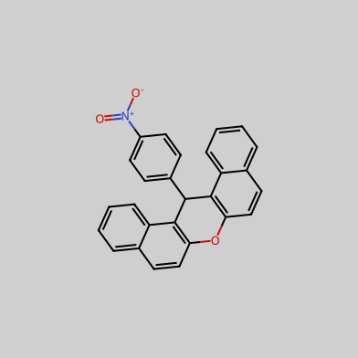 O=[N+]([O-])c1ccc(C2c3c(ccc4ccccc34)Oc3ccc4ccccc4c32)cc1